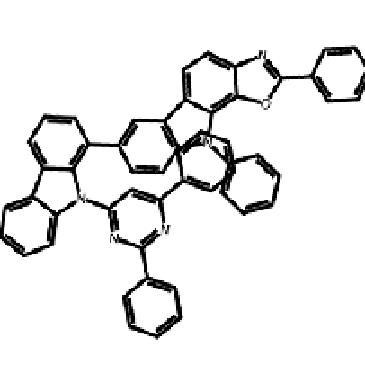 c1ccc(-c2cc(-n3c4ccccc4c4cccc(-c5ccc6c(c5)c5ccc7nc(-c8ccccc8)oc7c5n6-c5ccccc5)c43)nc(-c3ccccc3)n2)cc1